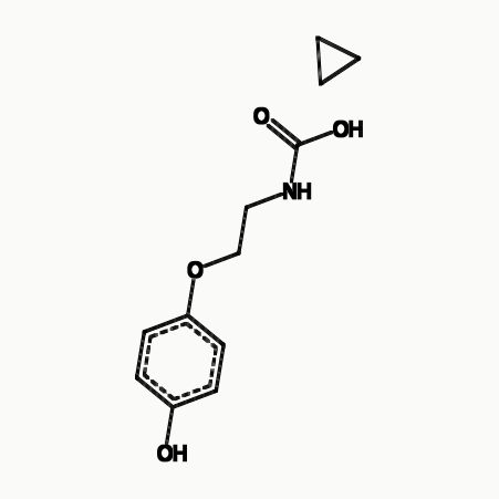 C1CC1.O=C(O)NCCOc1ccc(O)cc1